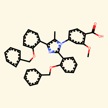 COc1cc(-n2c(-c3ccccc3OCc3ccccc3)nc(-c3ccccc3OCc3ccccc3)c2C)ccc1C(=O)O